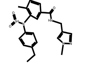 CCc1ccc(N(c2cc(C(=O)NCc3cnn(C)c3)ccc2C)[SH](=O)=O)cc1